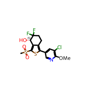 COc1ncc(-c2sc(S(C)(=O)=O)c3c2CCC(F)(F)[C@H]3O)cc1Cl